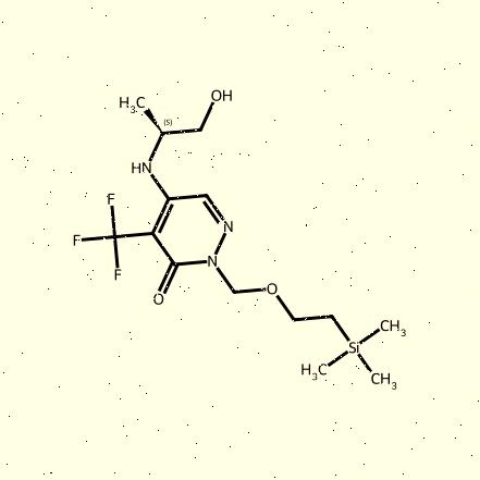 C[C@@H](CO)Nc1cnn(COCC[Si](C)(C)C)c(=O)c1C(F)(F)F